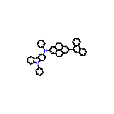 c1ccc(N(c2cc3ccc4cc(-c5cc6ccccc6c6ccccc56)cc5ccc(c2)c3c45)c2ccc3c(c2)c2ccccc2n3-c2ccccc2)cc1